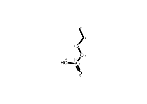 CCSO[PH](=O)O